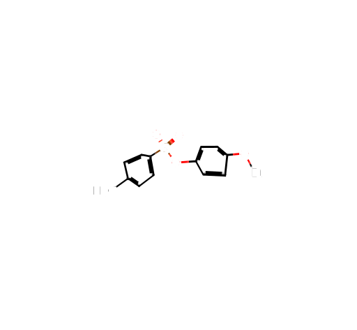 CCOc1ccc(OS(=O)(=O)c2ccc(C)cc2)cc1